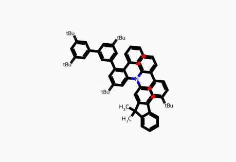 CC(C)(C)c1ccc(-c2ccccc2N(c2ccc3c(c2)C(C)(C)c2ccccc2-3)c2cc(C(C)(C)C)cc(-c3cc(-c4cc(C(C)(C)C)cc(C(C)(C)C)c4)cc(C(C)(C)C)c3)c2-c2ccccc2)cc1